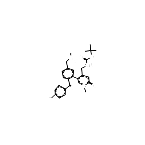 Cn1cc(-c2cc(C[S+](C)[O-])ccc2C(=O)c2ccc(F)cc2)c(CNC(=O)OC(C)(C)C)cc1=O